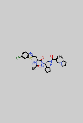 C=C(CN1CCCC1)C(=O)NC[C@@H](NC(=O)[C@H](Cc1nc2ccc(Cl)cc2s1)NC(=O)CC)C1CCCC1